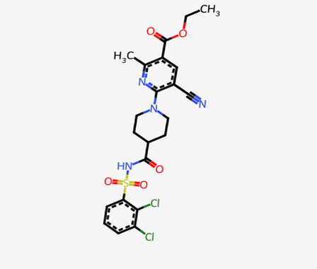 CCOC(=O)c1cc(C#N)c(N2CCC(C(=O)NS(=O)(=O)c3cccc(Cl)c3Cl)CC2)nc1C